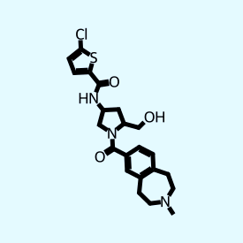 CN1CCc2ccc(C(=O)N3CC(NC(=O)c4ccc(Cl)s4)CC3CO)cc2CC1